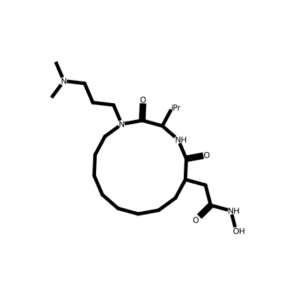 CC(C)C1NC(=O)C(CC(=O)NO)CCCCCCCCN(CCCN(C)C)C1=O